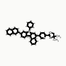 CC1(C)COC(c2ccc(-c3cc4c(c5ccccc35)c3ccc(-c5ccc6ccccc6c5)cc3n4-c3ccccc3)cn2)=N1